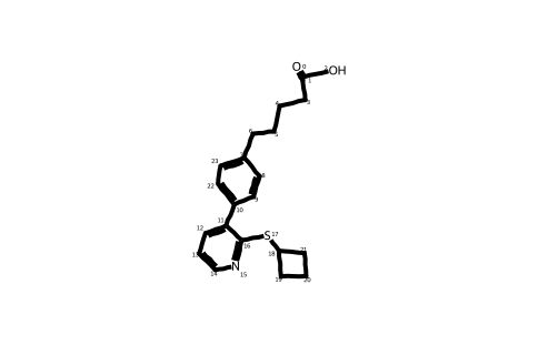 O=C(O)CCCCc1ccc(-c2cccnc2SC2CCC2)cc1